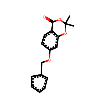 CC1(C)OC(=O)c2ccc(OCc3ccccc3)cc2O1